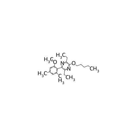 CCCCCOc1nc(CC)c(-c2c(C)cc(C)cc2OC)nc1CC